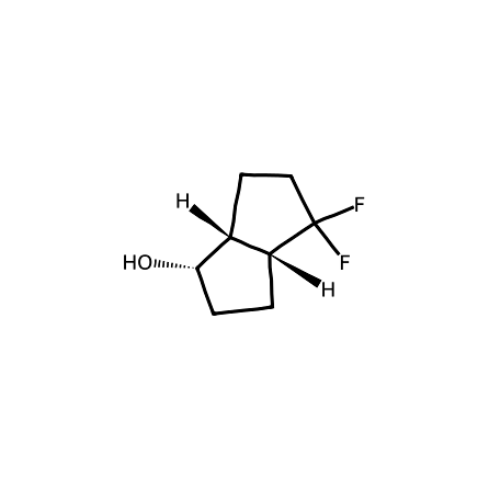 O[C@H]1CC[C@@H]2[C@H]1CCC2(F)F